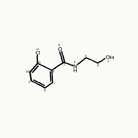 O=C(NCCO)c1ccccc1Cl